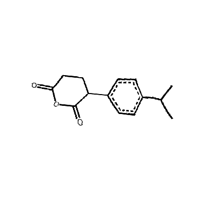 CC(C)c1ccc(C2CCC(=O)OC2=O)cc1